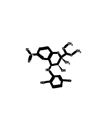 COC(OC)[C@]1(C)Oc2ccc([N+](=O)[O-])cc2[C@H](Nc2cc(Br)ccc2O)[C@H]1O